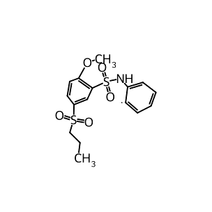 CCCS(=O)(=O)c1ccc(OC)c(S(=O)(=O)Nc2[c]cccc2)c1